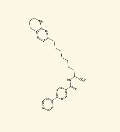 O=C(NC(CCCCCCCc1ccc2c(n1)NCCC2)C(=O)O)c1ccc(-c2ccncc2)cc1